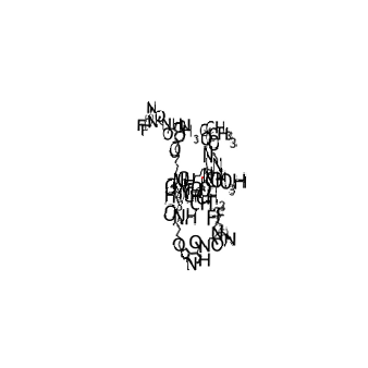 CN(CC(=O)OC(C)(C)C)C1(CCCCC(=O)N[C@@H](CCC(=O)NCCCCOc2ccc3nccc(C(=O)NCC(=O)N4CC(F)(F)C[C@H]4C#N)c3c2)C(=O)NCCCCOc2ccc3nccc(C(=O)NCC(=O)N4CC(F)(F)C[C@H]4C#N)c3c2)CN(CC(=O)O)CCN(CC(=O)OC(C)(C)C)C1